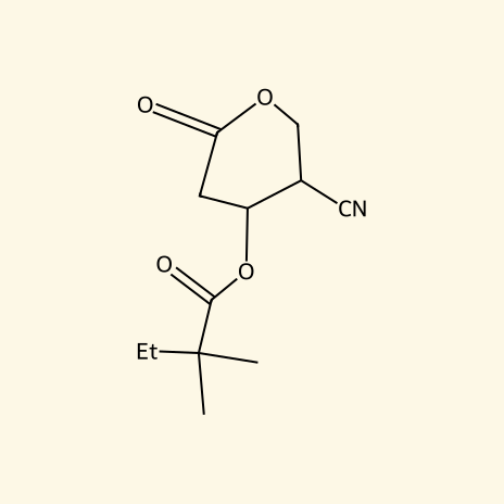 CCC(C)(C)C(=O)OC1CC(=O)OCC1C#N